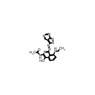 CCNc1cccc2c(O)c(NC(C)=O)nc(/N=N/c3snc4ncncc34)c12